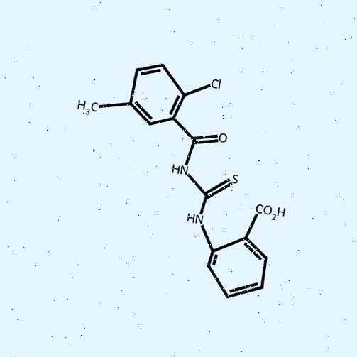 Cc1ccc(Cl)c(C(=O)NC(=S)Nc2ccccc2C(=O)O)c1